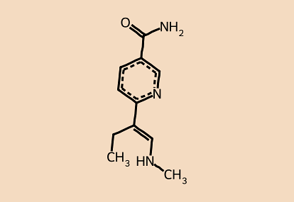 CCC(=CNC)c1ccc(C(N)=O)cn1